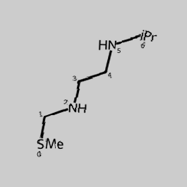 CSCNCCNC(C)C